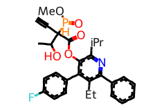 C#CC(C(=O)Oc1c(C(C)C)nc(-c2ccccc2)c(CC)c1-c1ccc(F)cc1)(C(C)O)[PH](=O)OC